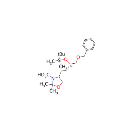 CC1(C)OCC(CC[C@@H](COCc2ccccc2)O[Si](C)(C)C(C)(C)C)N1C(=O)O